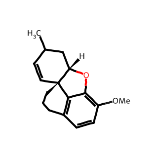 COc1ccc2c3c1O[C@H]1CC(C)C=C[C@@]31CCC2